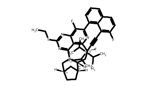 CCSc1nc2c3c(nc(-c4cccc5ccc(F)c(C#C[Si](C(C)C)(C(C)C)C(C)C)c45)c(F)c3n1)[C@H](F)C[C@@H]1[C@@H]3CC[C@@H](C3)CN21